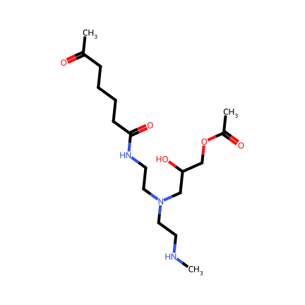 CNCCN(CCNC(=O)CCCCC(C)=O)CC(O)COC(C)=O